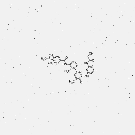 Cc1c(NC(=O)c2ccc(C(C)(C)C)cc2)cccc1-c1cn(C)c(=O)c(Nc2cccc(NC(=O)CO)c2)n1